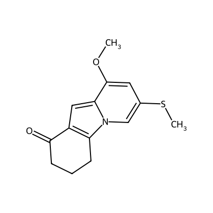 COc1cc(SC)cn2c3c(cc12)C(=O)CCC3